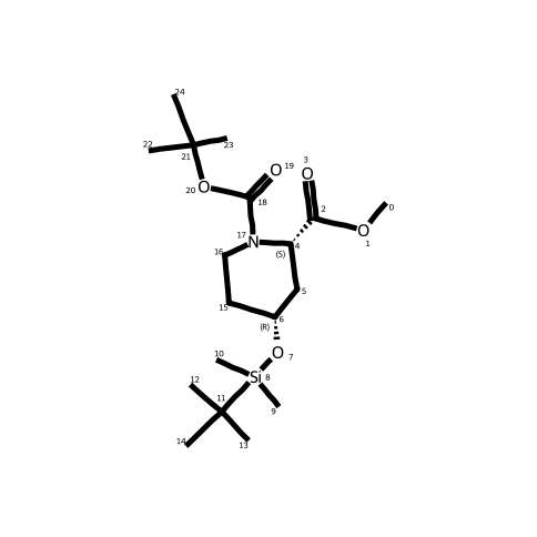 COC(=O)[C@@H]1C[C@H](O[Si](C)(C)C(C)(C)C)CCN1C(=O)OC(C)(C)C